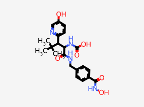 CC(C)(C)C(c1ccc(O)cn1)C(NC(=O)O)C(=O)NCc1ccc(C(=O)NO)cc1